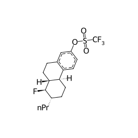 CCC[C@H]1CC[C@@H]2c3ccc(OS(=O)(=O)C(F)(F)F)cc3CC[C@H]2[C@@H]1F